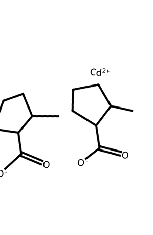 CC1CCCC1C(=O)[O-].CC1CCCC1C(=O)[O-].[Cd+2]